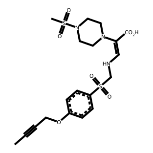 CC#CCOc1ccc(S(=O)(=O)CN/C=C(/C(=O)O)N2CCN(S(C)(=O)=O)CC2)cc1